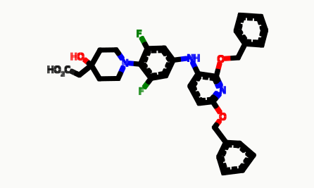 O=C(O)CC1(O)CCN(c2c(F)cc(Nc3ccc(OCc4ccccc4)nc3OCc3ccccc3)cc2F)CC1